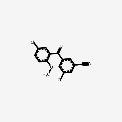 COc1ccc(Cl)cc1C(=O)c1cc(Cl)cc(C#N)c1